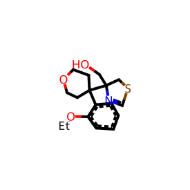 CCOc1ccccc1C1(C2(CO)CSC=N2)CCOCC1